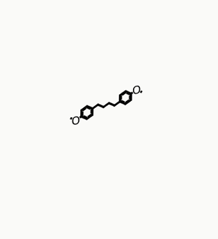 COc1ccc(CCCCc2ccc(OC)cc2)cc1